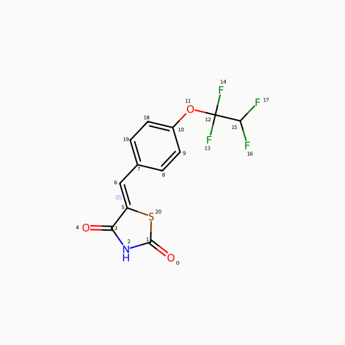 O=C1NC(=O)/C(=C/c2ccc(OC(F)(F)C(F)F)cc2)S1